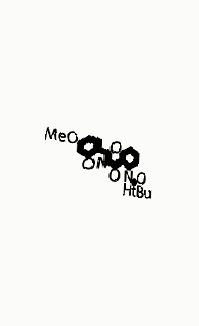 COc1ccc(-c2cc(=O)c3c(NC(=O)C(C)(C)C)cccc3o2)c(OC)c1